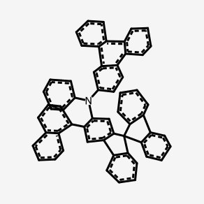 c1ccc(N(c2ccc3c4ccccc4c4ccccc4c3c2)c2cc3c(cc2-c2cccc4ccccc24)-c2ccccc2C32c3ccccc3-c3ccccc32)cc1